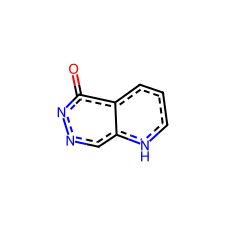 O=c1nncc2[nH]cccc1-2